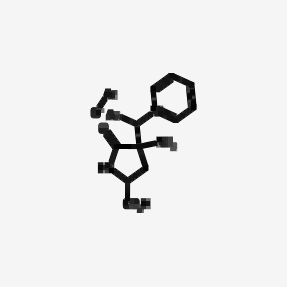 CC(=O)C([n+]1ccccc1)C1(N)CC(C(=O)O)NC1=O.CC(=O)[O-]